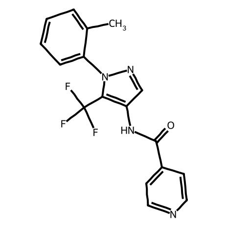 Cc1ccccc1-n1ncc(NC(=O)c2ccncc2)c1C(F)(F)F